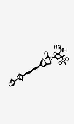 CC(CCN1Cc2cc(C#CC#CC3CN(C4COC4)C3)cn2C1=O)(C(=O)NO)S(C)(=O)=O